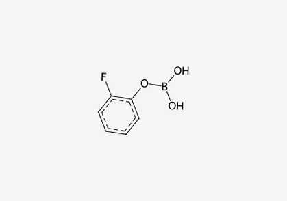 OB(O)Oc1ccccc1F